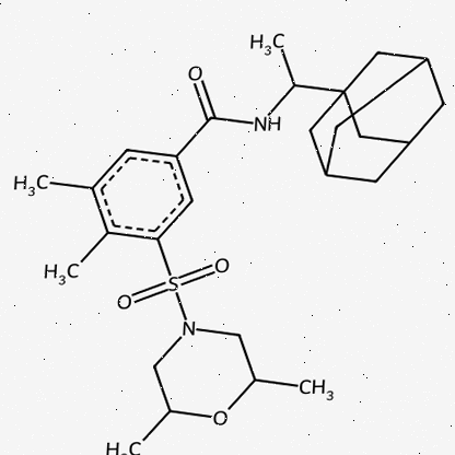 Cc1cc(C(=O)NC(C)C23CC4CC(CC(C4)C2)C3)cc(S(=O)(=O)N2CC(C)OC(C)C2)c1C